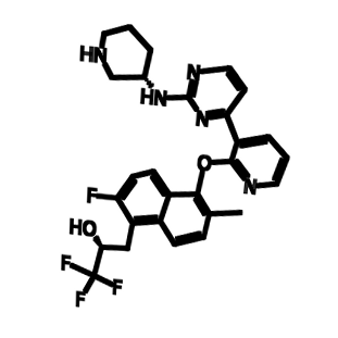 Cc1ccc2c(C[C@H](O)C(F)(F)F)c(F)ccc2c1Oc1ncccc1-c1ccnc(N[C@H]2CCCNC2)n1